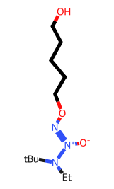 CCN(/[N+]([O-])=N/OCCCCCO)C(C)(C)C